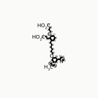 CS(=O)(=O)c1cc(OCCCCCCc2cccc(OCCCC(=O)O)c2CCC(=O)O)cc(-c2cscn2)c1